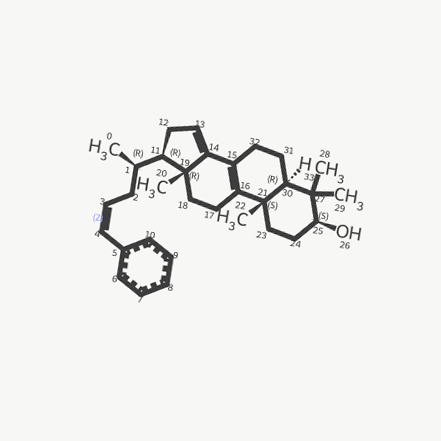 C[C@H](C/C=C\c1ccccc1)[C@H]1CC=C2C3=C(CC[C@@]21C)[C@@]1(C)CC[C@H](O)C(C)(C)[C@@H]1CC3